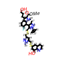 COC(=O)c1c(CCCO)c2ccc(F)c(-c3c(C)nn(C45CC4C5)c3CSCc3cc(CSc4cc(O)c5ncccc5c4)n(C)n3)c2n1C